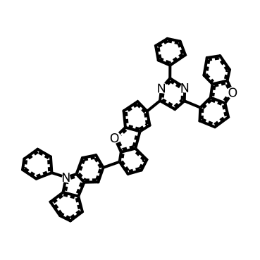 c1ccc(-c2nc(-c3ccc4oc5c(-c6ccc7c(c6)c6ccccc6n7-c6ccccc6)cccc5c4c3)cc(-c3cccc4oc5ccccc5c34)n2)cc1